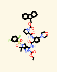 CCOC(=O)n1nc2c(c1NC(=O)c1ccc(N3CCOCC3)cc1NC(=O)C1CCCN1C(=O)OCC1c3ccccc3-c3ccccc31)CN(S(=O)(=O)c1cc(F)ccc1F)C2(C)C